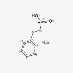 O=[PH](O)CCc1ccccc1.[La]